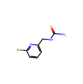 NC(=O)NCc1cccc(Br)n1